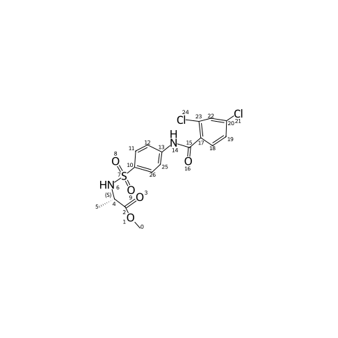 COC(=O)[C@H](C)NS(=O)(=O)c1ccc(NC(=O)c2ccc(Cl)cc2Cl)cc1